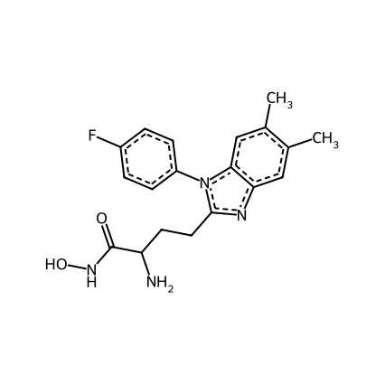 Cc1cc2nc(CCC(N)C(=O)NO)n(-c3ccc(F)cc3)c2cc1C